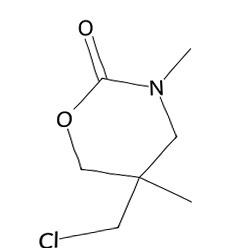 CN1CC(C)(CCl)COC1=O